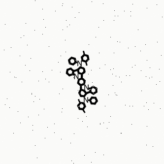 Cc1ccc(C)c(N(c2ccccc2)c2ccc3c4cc5c(cc4n4c6ccccc6c2c34)c2ccc(N(c3ccccc3)c3cc(C)ccc3C)c3c4ccccc4n5c23)c1